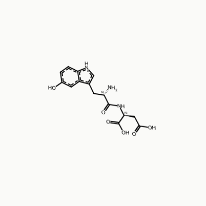 N[C@@H](Cc1c[nH]c2ccc(O)cc12)C(=O)N[C@@H](CC(=O)O)C(=O)O